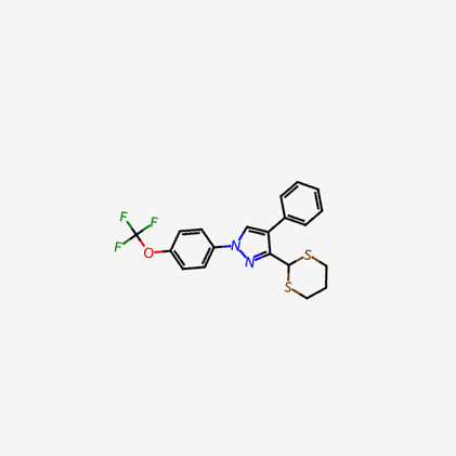 FC(F)(F)Oc1ccc(-n2cc(-c3ccccc3)c(C3SCCCS3)n2)cc1